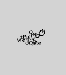 COP(=O)(CC(=O)C(Cc1ccncc1)NC(=O)OC(C)(C)C)OC